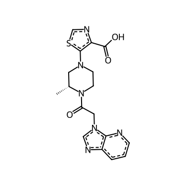 C[C@@H]1CN(c2scnc2C(=O)O)CCN1C(=O)Cn1cnc2cccnc21